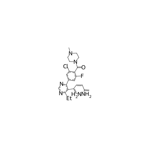 C=C(N)/C=C\C(=C/N)c1c(CC)ncnc1-c1cc(F)c(C(=O)N2CCN(C)CC2)c(Cl)c1